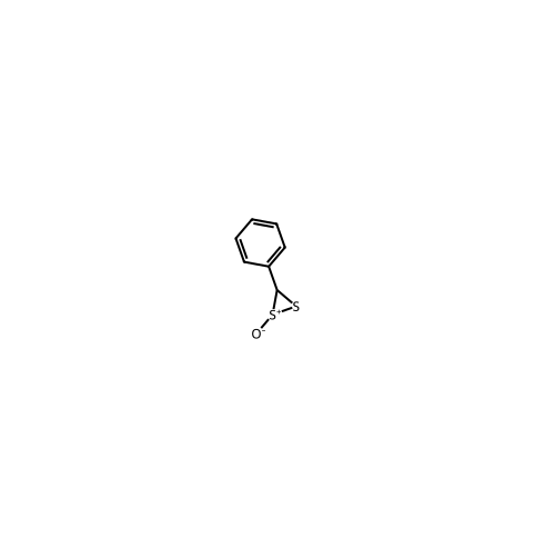 [O-][S+]1SC1c1ccccc1